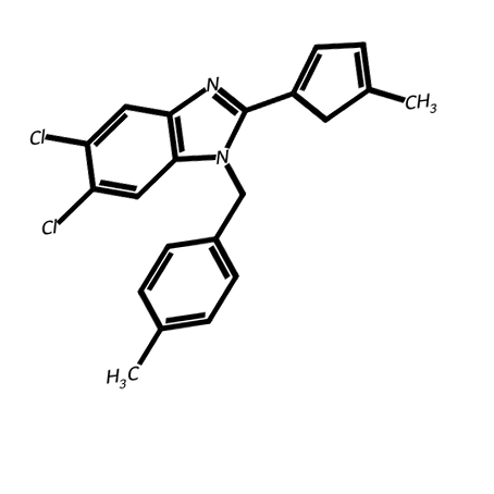 CC1=CC=C(c2nc3cc(Cl)c(Cl)cc3n2Cc2ccc(C)cc2)C1